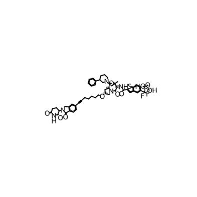 CC(C)(C)[C@H](NC(=O)c1cc2cc(C(F)(F)P(=O)(O)O)ccc2s1)C(=O)N1C[C@H](OCCCCCC#Cc2ccc3c(c2)CN(C2CCC(=O)NC2=O)C3=O)C[C@H]1C(=O)N1CCCC(c2ccccc2)C1